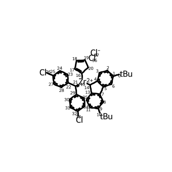 CC(C)(C)c1ccc2c(c1)-c1cc(C(C)(C)C)ccc1[CH]2[Zr+2]([C]1=CC=CC1)=[C](c1ccc(Cl)cc1)c1ccc(Cl)cc1.[Cl-].[Cl-]